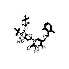 Cc1cccc(C)c1COCc1cn([C@H]2C[C@@](O)([Si](C)(C)C(C)(C)C)[C@@H](CO[Si](C)(C)C(C)(C)C)O2)c(=O)[nH]c1=O